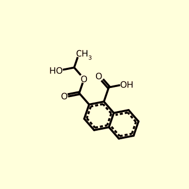 CC(O)OC(=O)c1ccc2ccccc2c1C(=O)O